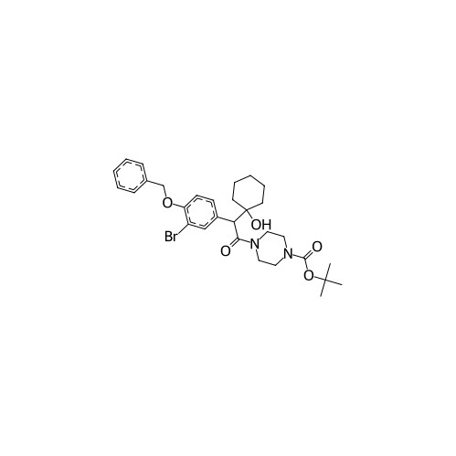 CC(C)(C)OC(=O)N1CCN(C(=O)C(c2ccc(OCc3ccccc3)c(Br)c2)C2(O)CCCCC2)CC1